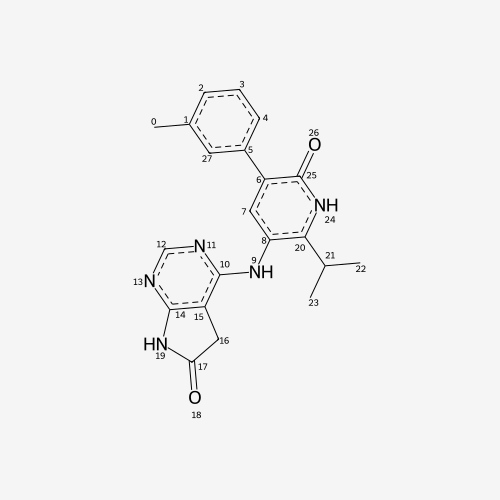 Cc1cccc(-c2cc(Nc3ncnc4c3CC(=O)N4)c(C(C)C)[nH]c2=O)c1